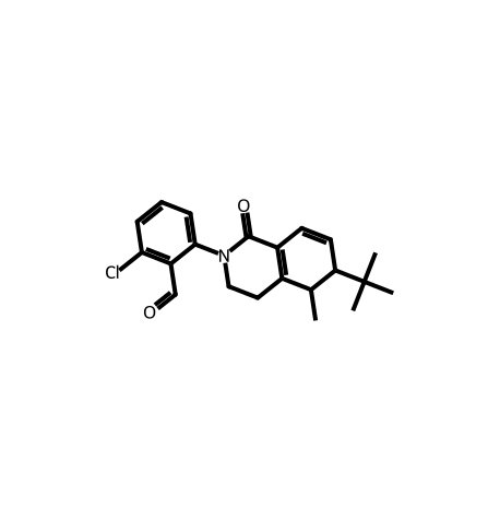 CC1C2=C(C=CC1C(C)(C)C)C(=O)N(c1cccc(Cl)c1C=O)CC2